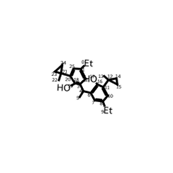 CCc1cc(C(C)c2cc(CC)cc(C3(C)CC3)c2O)c(O)c(C2(C)CC2)c1